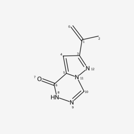 C=C(C)c1cc2c(=O)[nH]ncn2n1